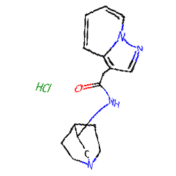 Cl.O=C(NC1CN2CCC1CC2)c1cnn2ccccc12